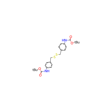 CC(C)(C)OC(=O)Nc1ccc(CSSCc2ccc(NC(=O)OC(C)(C)C)cc2)cc1